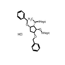 CCCCCCCO[C@@H]1[C@@H](N(C)CCCCCCC)[C@H](OCc2ccccc2)C[C@@H]1OCc1ccccc1.Cl